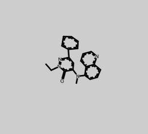 CCn1nc(-c2ccccc2)cc(N(C)c2cccc3ncccc23)c1=O